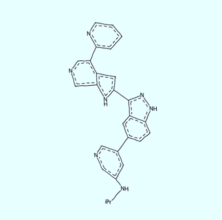 CC(C)Nc1cncc(-c2ccc3[nH]nc(-c4cc5c(-c6ccccn6)cncc5[nH]4)c3c2)c1